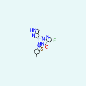 Cc1ccc2nc(NC(=O)c3cc(F)cnc3NCc3ccnc4[nH]ccc34)sc2c1